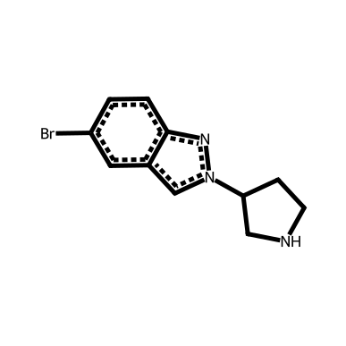 Brc1ccc2nn(C3CCNC3)cc2c1